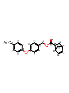 CC(=O)Oc1ccc(Oc2ccc(COC(=O)C3CC4C=CC3C4)cc2)cc1